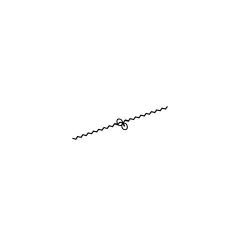 CCCCCCCCCCCCCCC/C=C/C(=O)O/C=C/CCCCCCCCCCCCCCCC